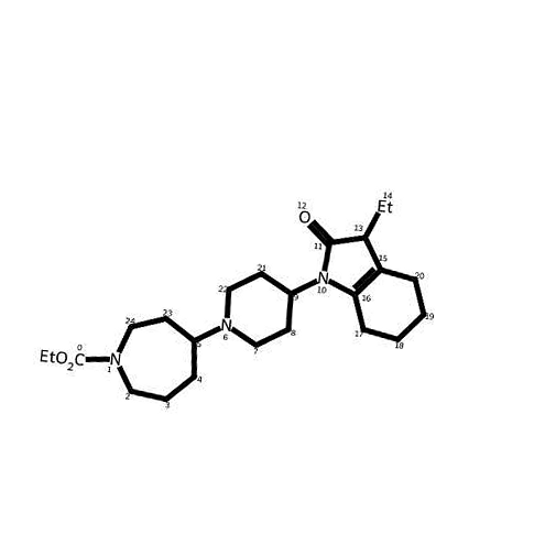 CCOC(=O)N1CCCC(N2CCC(N3C(=O)C(CC)C4=C3CCCC4)CC2)CC1